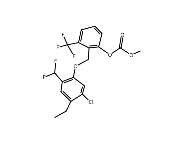 CCc1cc(C(F)F)c(OCc2c(OC(=O)OC)cccc2C(F)(F)F)cc1Cl